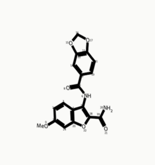 COc1ccc2c(NC(=O)c3ccc4c(c3)OCO4)c(C(N)=O)oc2c1